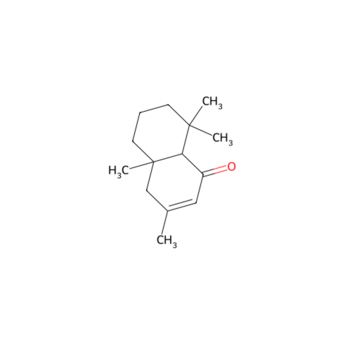 CC1=CC(=O)C2C(C)(C)CCCC2(C)C1